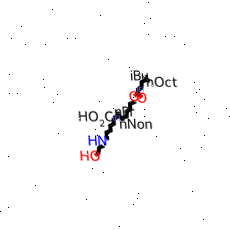 CCCCCCCCCC(CCCCCOC(=O)/C=C/CC(CCCCCCCC)C(C)CC)/C(CCC)=C(\CCCCCNCCCO)C(=O)O